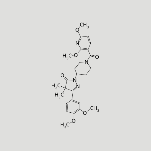 COc1ccc(C(=O)N2CCC(N3N=C(c4ccc(OC)c(OC)c4)C(C)(C)C3=O)CC2)c(OC)n1